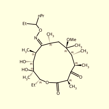 CCCC(CC)ON=C1[C@H](C)C[C@@](C)(OC)[C@H](C)[C@@H](C)C(=O)[C@@H](C)C(=O)O[C@H](CC)[C@@](C)(O)[C@H](O)[C@H]1C